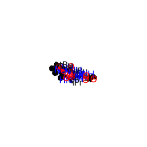 CC[C@H](C)[C@H](NC(=O)[C@H](CCCNC(=N)NS(=O)(=O)c1c(C)c(C)c2c(c1C)CCC(C)(C)O2)NC(=O)[C@H](CC(C)C)NC(=O)OCC1c2ccccc2-c2ccccc21)C(=O)N[C@H](C(=O)NCC(=O)N[C@@H](CC(=O)NC(c1ccccc1)(c1ccccc1)c1ccccc1)C(C)=O)[C@@H](C)OC(C)(C)C